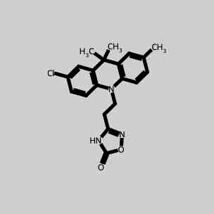 Cc1ccc2c(c1)C(C)(C)c1cc(Cl)ccc1N2CCc1noc(=O)[nH]1